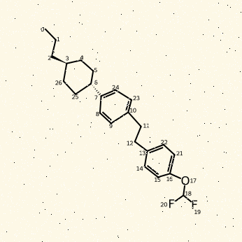 CCC[C@H]1CC[C@H](c2ccc(CCc3ccc(OC(F)F)cc3)cc2)CC1